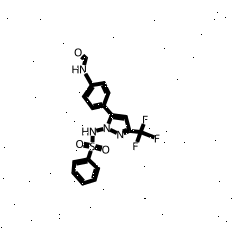 O=CNc1ccc(-c2cc(C(F)(F)F)nn2NS(=O)(=O)c2ccccc2)cc1